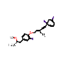 CCO[C@@H](Cc1ccc(OC/C=C(\C)C#CC2(I)C=CC=C(I)C2)c(I)c1)C(=O)O